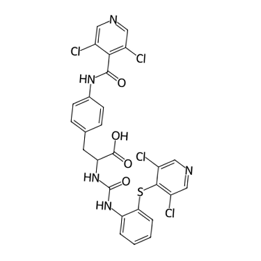 O=C(Nc1ccccc1Sc1c(Cl)cncc1Cl)NC(Cc1ccc(NC(=O)c2c(Cl)cncc2Cl)cc1)C(=O)O